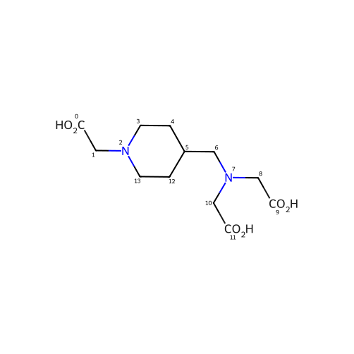 O=C(O)CN1CCC(CN(CC(=O)O)CC(=O)O)CC1